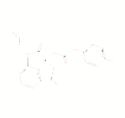 Cc1ccc(NC(=O)NC2(CC(=O)O)C(=O)N(CC=O)c3ccccc32)cc1